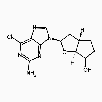 Nc1nc(Cl)c2ncn([C@H]3C[C@H]4CC[C@@H](O)[C@H]4O3)c2n1